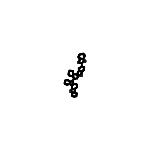 c1ccc2oc(-c3ccc4oc5cc(-n6c7ccccc7c7c8sc9ccccc9c8ccc76)c6ccccc6c5c4c3)nc2c1